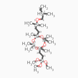 C=C[SiH](C)CO[Si](C)(C)CC[Si]1(C)O[Si](C)(C)O[Si](C)(CC[Si](OC)(OC)OC)O[Si](C)(C)O1